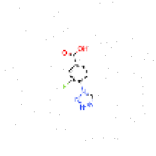 O=C(O)c1ccc(-n2cnnn2)c(F)c1